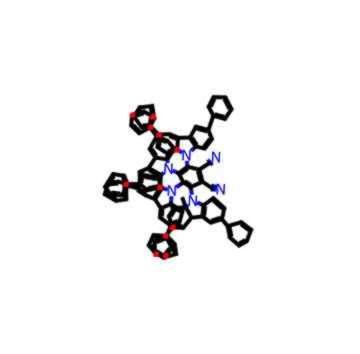 CC12C=CC(c3ccccc3)=CC1c1cc(-c3ccccc3)ccc1N2c1c(C#N)c(C#N)c(-n2c3ccc(-c4ccccc4)cc3c3cc(-c4ccccc4)ccc32)c(-n2c3ccc(-c4ccccc4)cc3c3cc(-c4ccccc4)ccc32)c1-n1c2ccc(-c3ccccc3)cc2c2cc(-c3ccccc3)ccc21